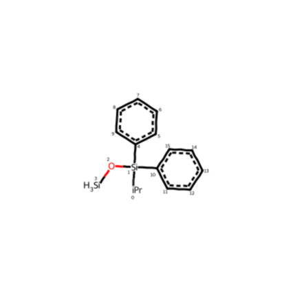 CC(C)[Si](O[SiH3])(c1ccccc1)c1ccccc1